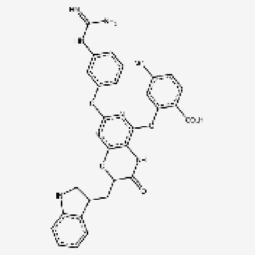 N#Cc1ccc(C(=O)O)c(Oc2nc(Oc3cccc(NC(=N)N)c3)nc3c2NC(=O)C(CC2CNc4ccccc42)O3)c1